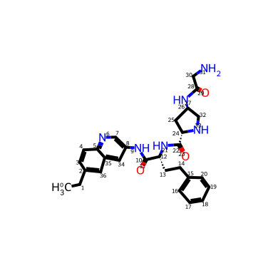 CCc1ccc2ncc(NC(=O)[C@@H](CCc3ccccc3)NC(=O)[C@@H]3C[C@@H](NC(=O)CN)CN3)cc2c1